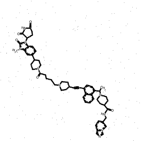 CC(c1ccc(C#CC2CCN(CCCCC(=O)N3CCC(c4ccc5c(c4)n(C)c(=O)n5C4CCC(=O)NC4=O)CC3)CC2)c2ccccc12)N1CCC(C(=O)NCc2ccc3cncn3c2)CC1